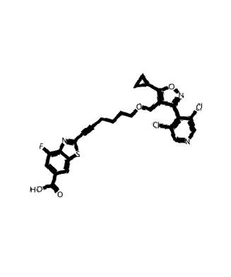 O=C(O)c1cc(F)c2nc(C#CCCCCOCc3c(-c4c(Cl)cncc4Cl)noc3C3CC3)sc2c1